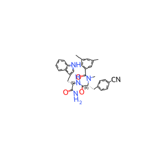 Cc1cc(C)cc(C(=O)N(C)[C@H](Cc2ccc(C#N)cc2)C(=O)N[C@@H](Cc2c[nH]c3ccccc23)C(N)=O)c1